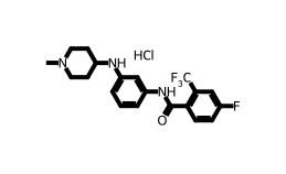 CN1CCC(Nc2cccc(NC(=O)c3ccc(F)cc3C(F)(F)F)c2)CC1.Cl